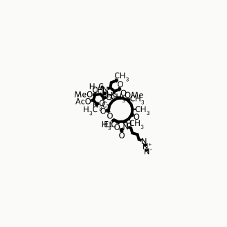 CCC1OC(=O)[C@H](C)[C@@H](OC2CC(C)(OC)C(OC(C)=O)C(C)O2)[C@H](C)[C@@H](OC2OC(C)CC(N(C)C)C2C)[C@@](C)(OC)C[C@@H](C)C(=O)[C@H](C)[C@H]2N(CCCCN=[N+]=[N-])C(=O)O[C@]12C